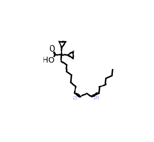 CCCCC/C=C\C/C=C\CCCCCCC(C(=O)O)(C1CC1)C1CC1